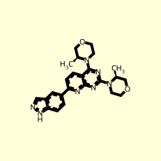 C[C@H]1COCCN1c1nc(N2CCOC[C@@H]2C)c2ccc(-c3ccc4[nH]ncc4c3)nc2n1